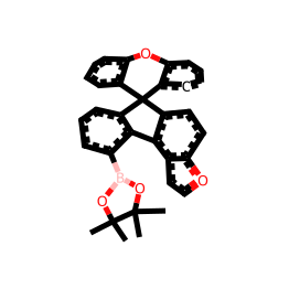 CC1(C)OB(c2cccc3c2-c2c(ccc4occc24)C32c3ccccc3Oc3ccccc32)OC1(C)C